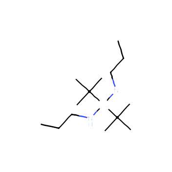 CCC[NH][Hf]([NH]CCC)([C](C)(C)C)[C](C)(C)C